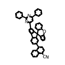 N#Cc1ccc(-c2ccc3c(c2)C2(c4ccccc4Oc4ccccc42)c2cc(-c4cc(-c5ccccc5)nc(-c5ccccc5)n4)ccc2-3)c2ccccc12